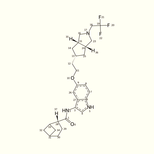 O=C(Nc1c[nH]c2ccc(OCC[C@@H]3C[C@@H]4CN(CC(F)(F)F)C[C@@H]4C3)cc12)[C@@H]1CCC2CC1C2